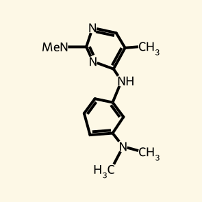 CNc1ncc(C)c(Nc2cccc(N(C)C)c2)n1